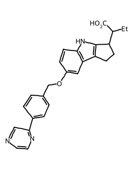 CCC(C(=O)O)C1CCc2c1[nH]c1ccc(OCc3ccc(-c4cnccn4)cc3)cc21